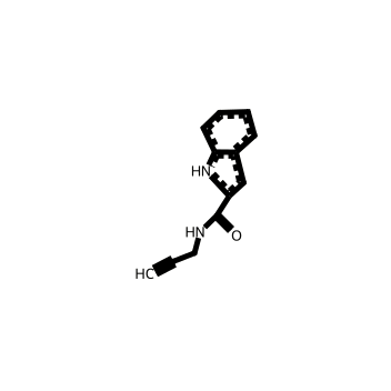 C#CCNC(=O)c1cc2ccccc2[nH]1